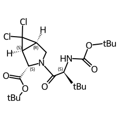 CC(C)(C)OC(=O)N[C@H](C(=O)N1C[C@H]2[C@@H]([C@H]1C(=O)OC(C)(C)C)C2(Cl)Cl)C(C)(C)C